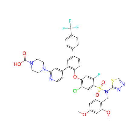 COc1ccc(CN(c2nncs2)S(=O)(=O)c2cc(Cl)c(Oc3ccc(-c4ccc(C(F)(F)F)cc4)cc3-c3ccnc(N4CCN(C(=O)O)CC4)c3)cc2F)c(OC)c1